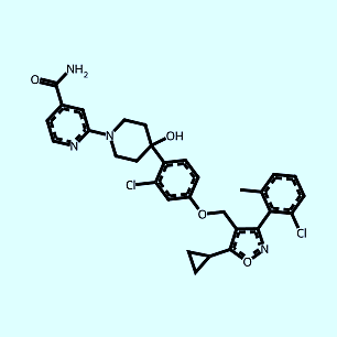 Cc1cccc(Cl)c1-c1noc(C2CC2)c1COc1ccc(C2(O)CCN(c3cc(C(N)=O)ccn3)CC2)c(Cl)c1